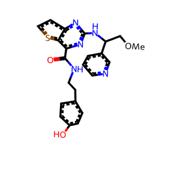 COCC(Nc1nc(C(=O)NCCc2ccc(O)cc2)c2sccc2n1)c1cccnc1